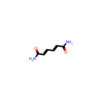 NC(=O)C=CC=CC(N)=O